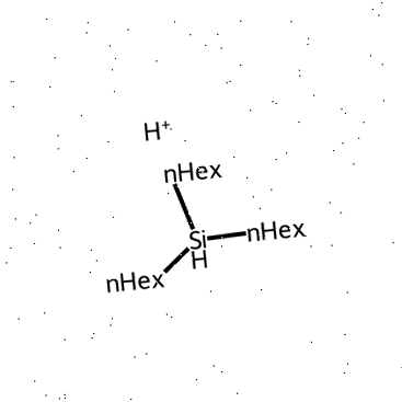 CCCCCC[SiH](CCCCCC)CCCCCC.[H+]